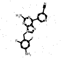 N#Cc1cncc(-c2nc(N)nc3c2ncn3Cc2c(F)cc(N)cc2F)c1